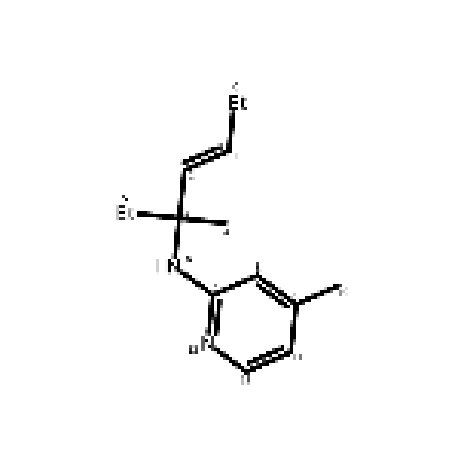 CCC=CC(C)(CC)Nc1cc(C)ccn1